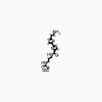 CC(C)(C)OC(=O)NCCCNC(=O)c1csc(-c2csc(CCN)n2)n1